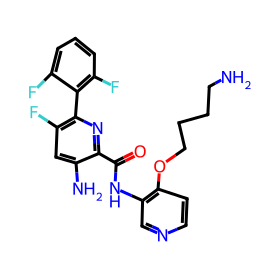 NCCCCOc1ccncc1NC(=O)c1nc(-c2c(F)cccc2F)c(F)cc1N